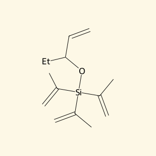 C=CC(CC)O[Si](C(=C)C)(C(=C)C)C(=C)C